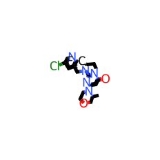 CC1COCCN1c1cc(=O)n2c(n1)N(Cc1cncc(Cl)c1)C(C(F)(F)F)CC2